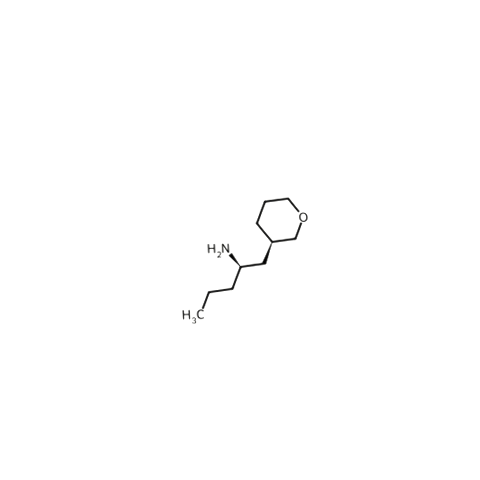 CCC[C@@H](N)C[C@H]1CCCOC1